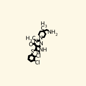 Cn1c(N2CCC(C)(CN)CC2)nc2[nH]nc(Sc3cccc(Cl)c3Cl)c2c1=O